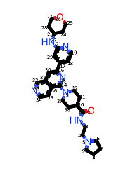 O=C(NCCN1CCCC1)C1CCN(c2nc(-c3ccnc(NC4CCOCC4)c3)cc3cnccc23)CC1